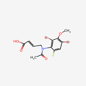 COc1c(Br)cc(F)c(N(C/C=C/C(=O)O)C(C)=O)c1Br